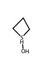 O[SH]1CCC1